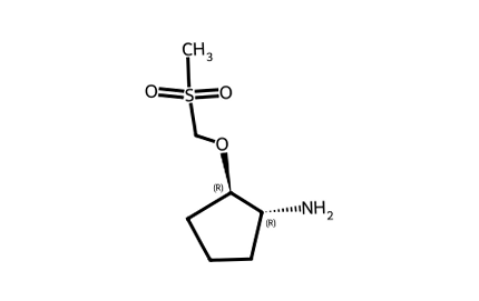 CS(=O)(=O)CO[C@@H]1CCC[C@H]1N